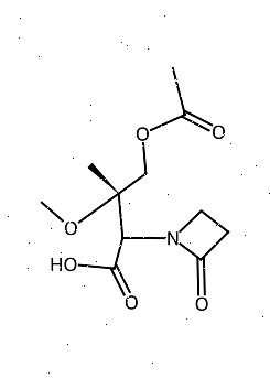 CO[C@](C)(COC(C)=O)C(C(=O)O)N1CCC1=O